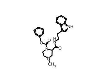 CN1CCN(C(=O)Oc2ccccc2)C(C(=O)NCCc2c[nH]c3ccccc23)C1